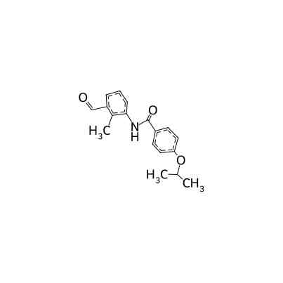 Cc1c(C=O)cccc1NC(=O)c1ccc(OC(C)C)cc1